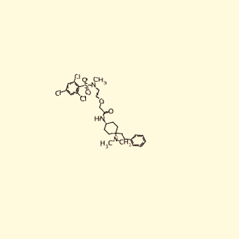 CN(C)C1(CCc2ccccc2)CCC(NC(=O)COCCN(C)S(=O)(=O)c2c(Cl)cc(Cl)cc2Cl)CC1